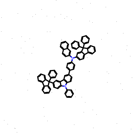 c1ccc(-n2c3ccc(-c4ccc(N(c5ccc6c(c5)C(c5ccccc5)(c5ccccc5)c5ccccc5-6)c5ccc6ccccc6c5)cc4)cc3c3cc(C4(c5ccccc5)c5ccccc5-c5ccccc54)ccc32)cc1